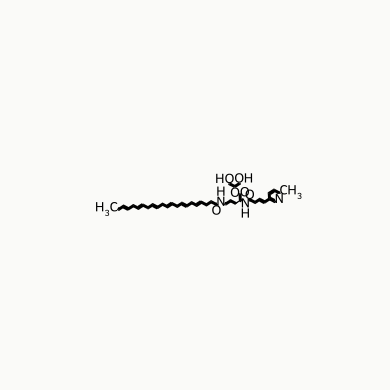 CCC=CCC=CCC=CCC=CCC=CCC=CCCC(=O)NCCC[C@H](NC(=O)CC=Cc1ccc(C)nc1)C(=O)OC(CO)CO